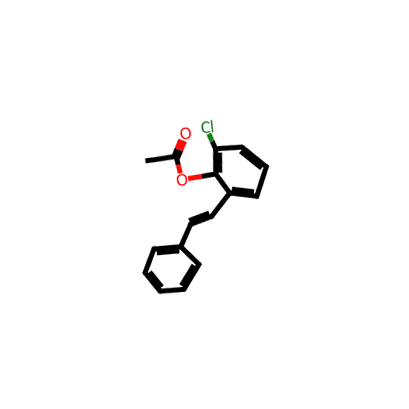 CC(=O)Oc1c(Cl)cccc1C=Cc1ccccc1